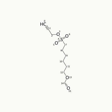 C#CCOS(=O)(=O)CCCCCCOC=O